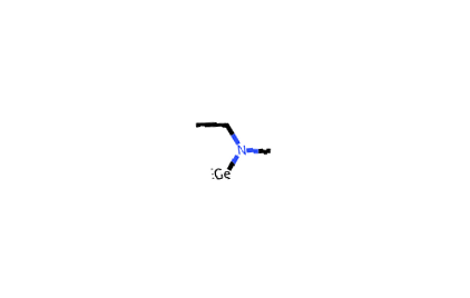 CC[N](C)[Ge]